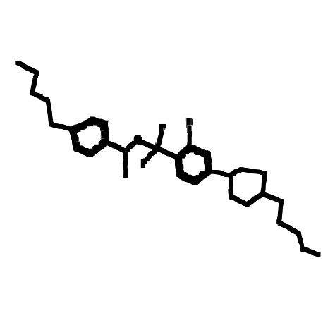 CCCCCc1ccc(C(C)OC(F)(F)c2ccc(C3CCC(CCCCC)CC3)cc2F)cc1